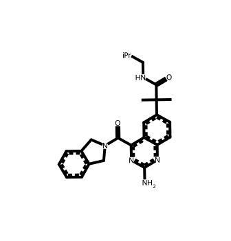 CC(C)CNC(=O)C(C)(C)c1ccc2nc(N)nc(C(=O)N3Cc4ccccc4C3)c2c1